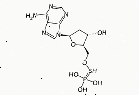 Nc1ncnc2c1ncn2[C@H]1C[C@H](O)[C@@H](CO[SH]=P(O)(O)O)O1